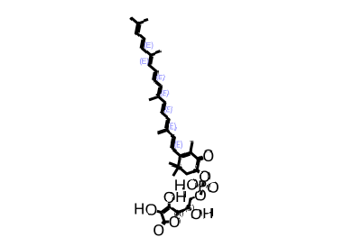 CC(C)=C/C=C/C(C)=C/C=C/C=C(C)/C=C/C=C(C)/C=C/C1=C(C)C(=O)C(OP(=O)(O)OC[C@H](O)[C@H]2OC(=O)C(O)=C2O)CC1(C)C